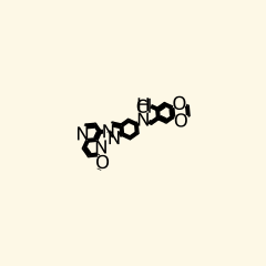 COc1ccc2nccc(-n3cc4c(n3)CCC(NCc3cc5c(cc3Cl)OCCO5)C4)c2n1